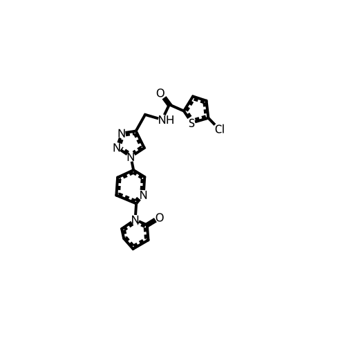 O=C(NCc1cn(-c2ccc(-n3ccccc3=O)nc2)nn1)c1ccc(Cl)s1